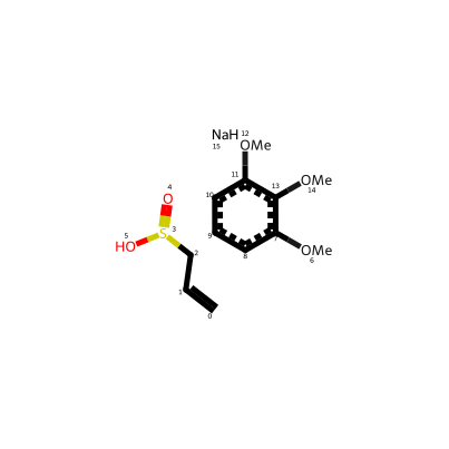 C=CCS(=O)O.COc1cccc(OC)c1OC.[NaH]